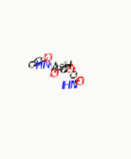 CNC(=O)[C@H]1CC[C@@H](Oc2ccc(C(=O)[AsH]CCNC(=O)c3ccc4ccccc4c3)cc2)CC1